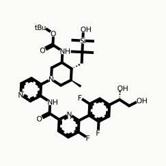 C[C@H]1CN(c2ccncc2NC(=O)c2ccc(F)c(-c3c(F)cc([C@H](O)CO)cc3F)n2)CC(NC(=O)OC(C)(C)C)[C@@H]1CC(C)(C)[Si](C)(C)O